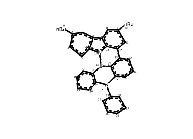 CCCCc1ccc2c(c1)c1cc(CCCC)cc3c1n2B1c2ccccc2N(c2ccccc2)c2cccc-3c21